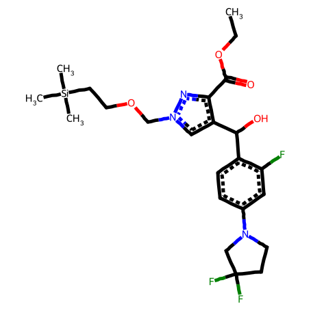 CCOC(=O)c1nn(COCC[Si](C)(C)C)cc1C(O)c1ccc(N2CCC(F)(F)C2)cc1F